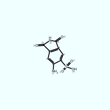 Nc1cc2c(cc1S(=O)(=O)O)C(=O)NC2=O